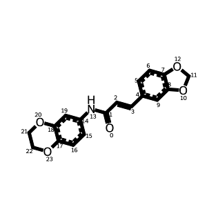 O=C(/C=C/c1ccc2c(c1)OCO2)Nc1ccc2c(c1)OCCO2